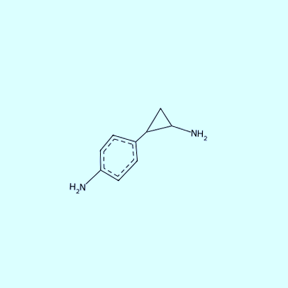 Nc1ccc(C2CC2N)cc1